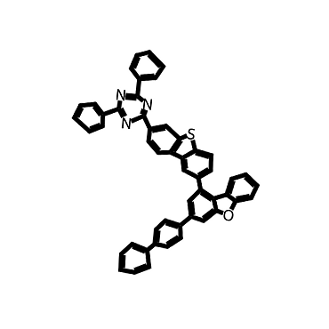 c1ccc(-c2ccc(-c3cc(-c4ccc5sc6cc(-c7nc(-c8ccccc8)nc(-c8ccccc8)n7)ccc6c5c4)c4c(c3)oc3ccccc34)cc2)cc1